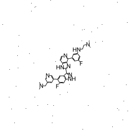 CN(C)CCNc1cc(F)cc(-c2nccc3[nH]c(-c4n[nH]c5cc(F)c(-c6cncc(CN(C)C)c6)cc45)nc23)c1